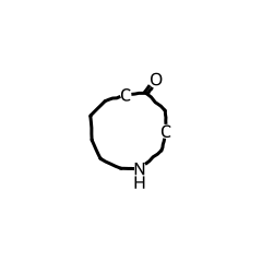 O=C1CCCCCCNCCC1